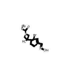 CC(C)(C)OC(=O)N1CC(C#N)(c2ccc(C=NO)cc2Br)C1